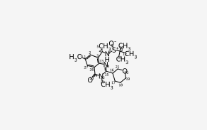 Cc1cc([C@@H](C)N[S@+]([O-])C(C)(C)C)c2nc(C3CCCOC3)n(C)c(=O)c2c1